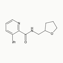 CC(C)c1cccnc1C(=O)NCC1CCCO1